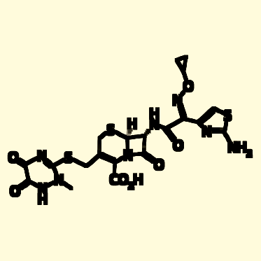 Cn1[nH]c(=O)c(=O)nc1SCC1=C(C(=O)O)N2C(=O)[C@@H](NC(=O)C(=NOC3CC3)c3csc(N)n3)[C@@H]2SC1